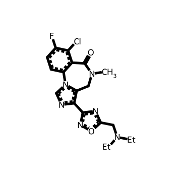 CCN(CC)Cc1nc(-c2ncn3c2CN(C)C(=O)c2c-3ccc(F)c2Cl)no1